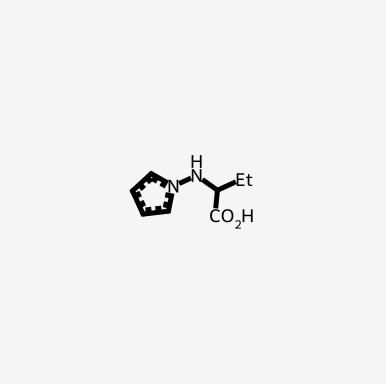 CCC(Nn1cccc1)C(=O)O